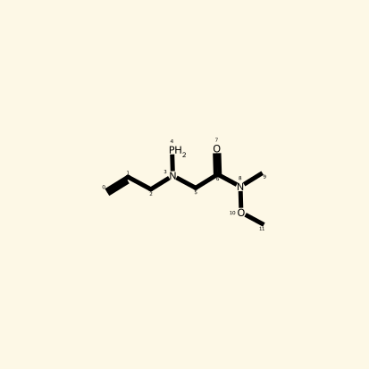 C=CCN(P)CC(=O)N(C)OC